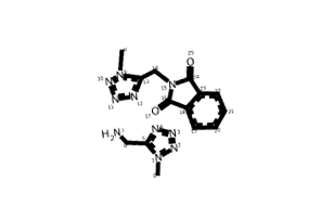 Cn1nnnc1CN.Cn1nnnc1CN1C(=O)c2ccccc2C1=O